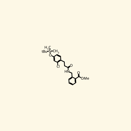 COC(=O)c1ccccc1CNC(=O)CCc1ccc(O[Si](C)(C)C(C)(C)C)cc1Cl